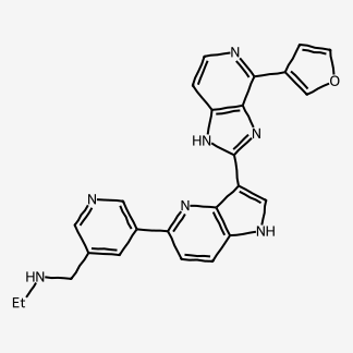 CCNCc1cncc(-c2ccc3[nH]cc(-c4nc5c(-c6ccoc6)nccc5[nH]4)c3n2)c1